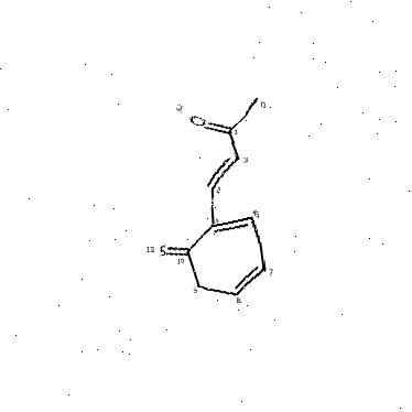 CC(=O)C=CC1=CC=CCC1=S